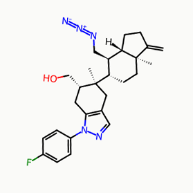 C=C1CC[C@H]2[C@H](CN=[N+]=[N-])[C@@H]([C@@]3(C)Cc4cnn(-c5ccc(F)cc5)c4C[C@@H]3CO)CC[C@]12C